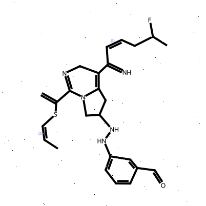 C=C(S/C=C\C)C1=NCC(C(=N)/C=C\CC(C)F)=C2CC(NNc3cccc(C=O)c3)CN12